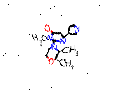 C[C@@H]1OCCN(c2nc(-c3ccncc3)cc(=O)n2C)[C@@H]1C